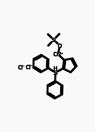 C[Si](C)(C)[O][Cr+2][C]1=C([SiH](c2ccccc2)c2ccccc2)CC=C1.[Cl-].[Cl-]